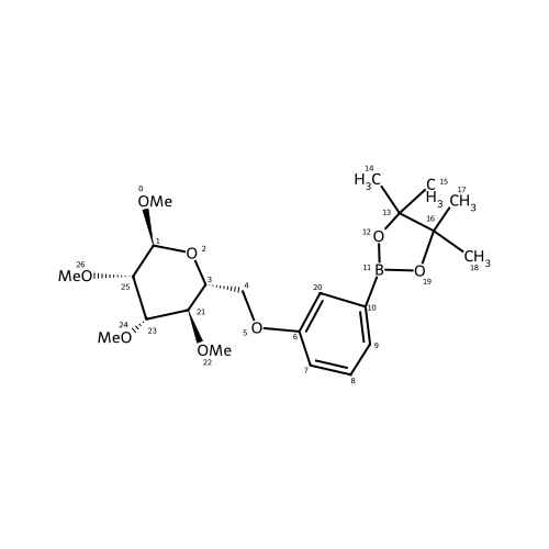 CO[C@H]1O[C@H](COc2cccc(B3OC(C)(C)C(C)(C)O3)c2)[C@@H](OC)[C@H](OC)[C@@H]1OC